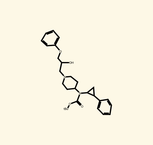 CC(C)(C)OC(=O)N(C1CCN(CC(O)COc2ccccc2)CC1)C1CC1c1ccccc1